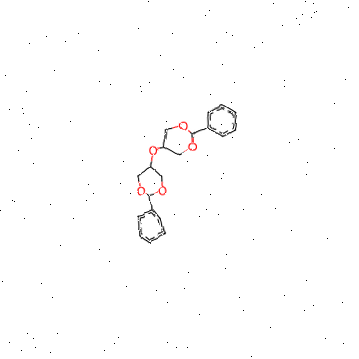 c1ccc(C2OCC(OC3COC(c4ccccc4)OC3)CO2)cc1